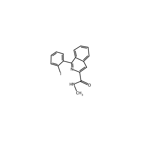 CNC(=O)c1cc2ccccc2c(-c2ccccc2I)n1